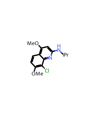 COc1ccc2c(OC)cc(NC(C)C)nc2c1Cl